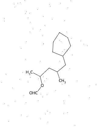 CC(CC1CCCCC1)CC(C)OC=O